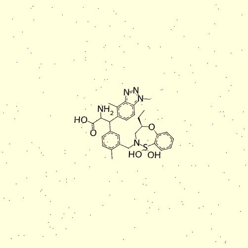 CC[C@@H]1CN(Cc2cc(C(c3ccc4c(nnn4C)c3C)C(N)C(=O)O)ccc2C)S(O)(O)c2ccccc2O1